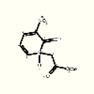 COC(=O)C[N+]1([O-])C=CC=C([N+](=O)[O-])C1=O